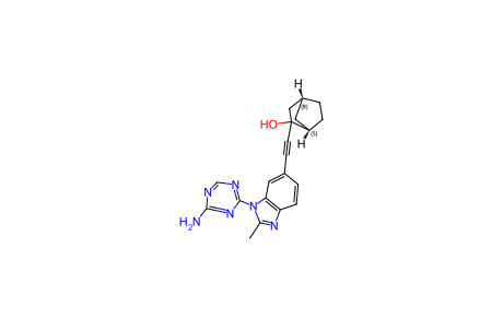 Cc1nc2ccc(C#CC3(O)C[C@@H]4CC[C@H]3C4)cc2n1-c1ncnc(N)n1